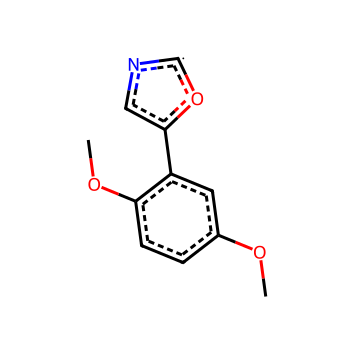 COc1ccc(OC)c(-c2cn[c]o2)c1